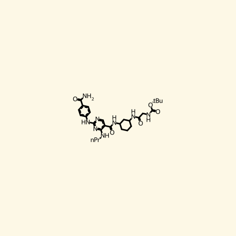 CCCNc1nc(Nc2ccc(C(N)=O)cc2)ncc1C(=O)NC1CCCC(NC(=O)CNC(=O)OC(C)(C)C)C1